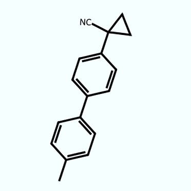 Cc1ccc(-c2ccc(C3(C#N)CC3)cc2)cc1